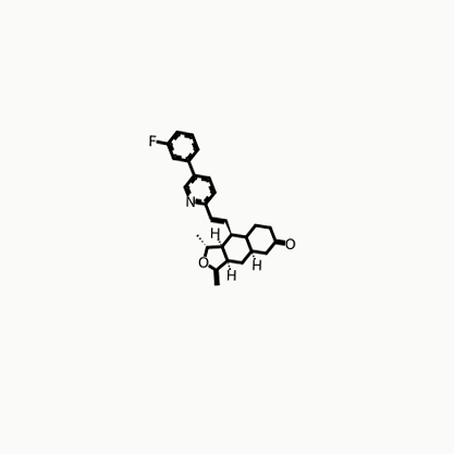 C=C1O[C@H](C)[C@@H]2[C@H]1C[C@@H]1CC(=O)CCC1[C@@H]2/C=C/c1ccc(-c2cccc(F)c2)cn1